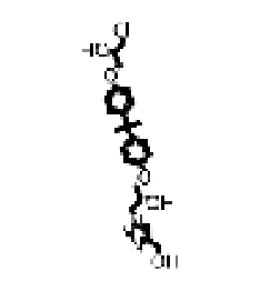 CC(C)(c1ccc(OC[C@@H](O)CCl)cc1)c1ccc(OC[C@H](O)Cn2cc(CO)nn2)cc1